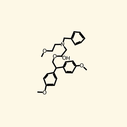 COCCN(Cc1ccccc1)CC(O)OCC(c1ccc(OC)cc1)c1ccc(OC)cc1